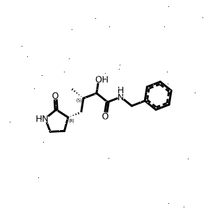 C[C@@H](C[C@@H]1CCNC1=O)C(O)C(=O)NCc1ccccc1